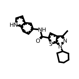 Cc1nn(C2CCCCC2)c2sc(C(=O)Nc3ccc4[nH]ccc4c3)cc12